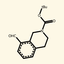 CC(C)(C)OC(=O)N1CCc2cccc(C=O)c2C1